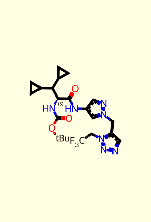 CC(C)(C)OC(=O)N[C@H](C(=O)Nc1cnn(Cc2cnnn2CC(F)(F)F)c1)C(C1CC1)C1CC1